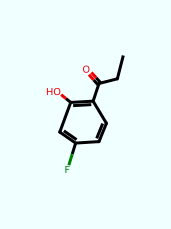 CCC(=O)c1ccc(F)cc1O